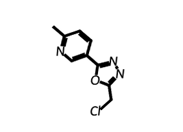 Cc1ccc(-c2nnc(CCl)o2)cn1